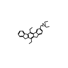 CCc1c2c(c(CC)c3c1Cc1ccc(CN(CC)CC)cc1-3)-c1ccccc1C2